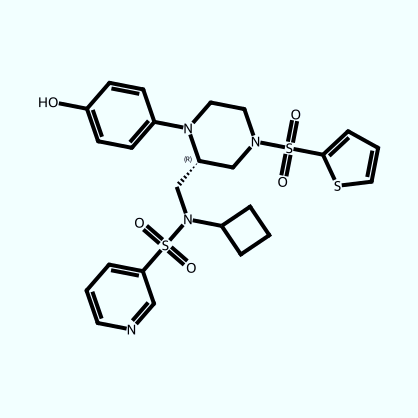 O=S(=O)(c1cccs1)N1CCN(c2ccc(O)cc2)[C@@H](CN(C2CCC2)S(=O)(=O)c2cccnc2)C1